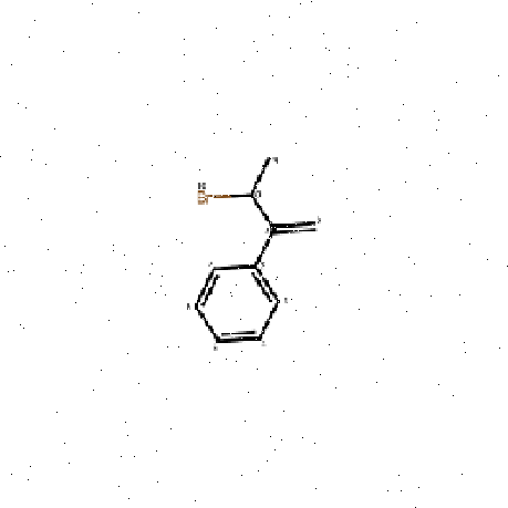 C=C(c1ccccc1)C(C)Br